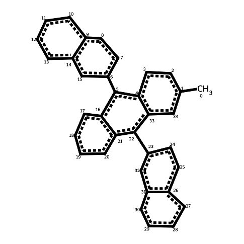 Cc1ccc2c(-c3ccc4ccccc4c3)c3ccccc3c(-c3ccc4ccccc4c3)c2c1